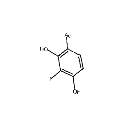 CC(=O)c1ccc(O)c(I)c1O